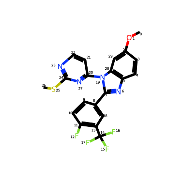 COc1ccc2nc(-c3ccc(F)c(C(F)(F)F)c3)n(-c3ccnc(SC)n3)c2c1